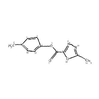 Cc1ccc(OC(=O)c2nnc(C)o2)cc1